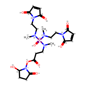 CN(CCC(=O)ON1C(=O)CCC1O)P(=O)(N(C)CCN1C(=O)C=CC1=O)N(C)CCN1C(=O)C=CC1=O